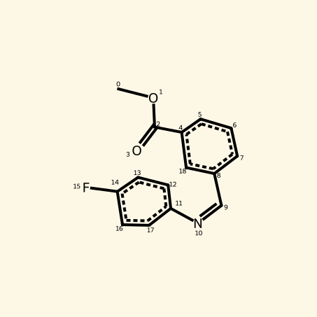 COC(=O)c1cccc(/C=N\c2ccc(F)cc2)c1